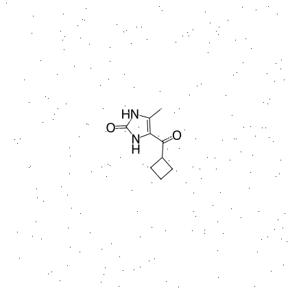 Cc1[nH]c(=O)[nH]c1C(=O)C1CCC1